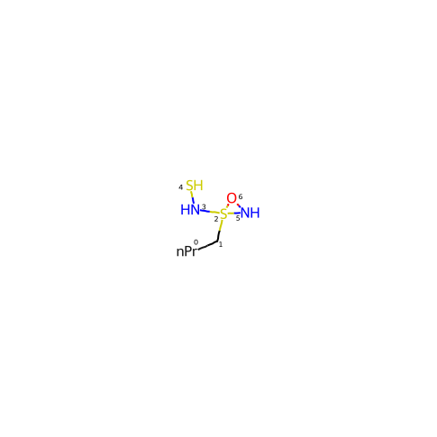 CCCCS1(NS)NO1